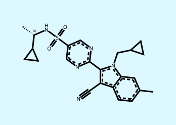 Cc1ccc2c(C#N)c(-c3ncc(S(=O)(=O)N[C@@H](C)C4CC4)cn3)n(CC3CC3)c2c1